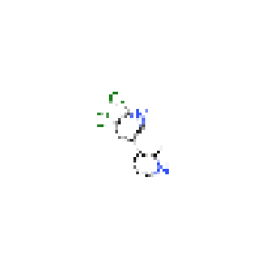 Cc1ncccc1-c1cnc(Cl)c(Cl)c1